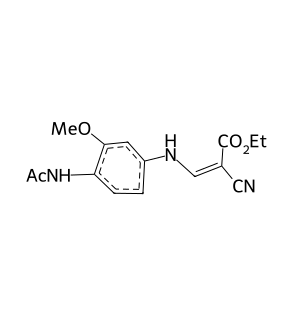 CCOC(=O)/C(C#N)=C\Nc1ccc(NC(C)=O)c(OC)c1